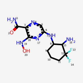 NC(=O)c1ncc(NC2CCCC(F)(F)C2N)nc1NO